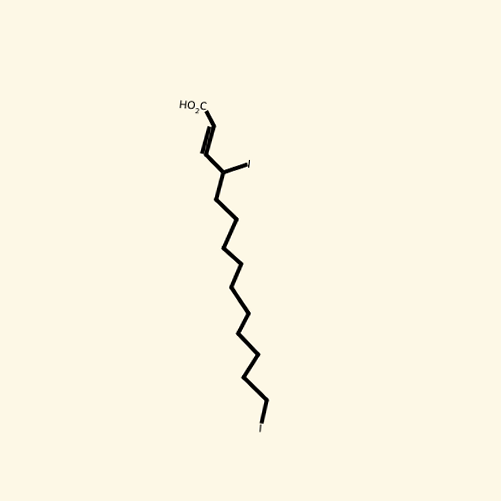 O=C(O)C=CC(I)CCCCCCCCCCI